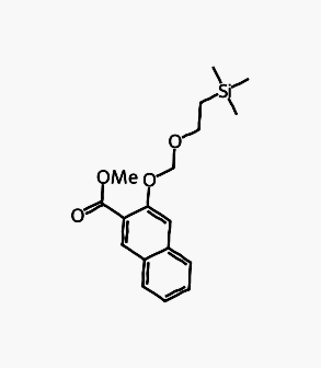 COC(=O)c1cc2ccccc2cc1OCOCC[Si](C)(C)C